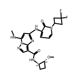 CNc1cc(Nc2cccn(C3CC(F)(F)C3)c2=O)nc2c(C(=O)N[C@@H]3CC[C@H]3OC)cnn12